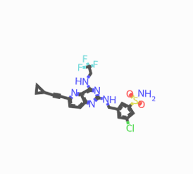 NS(=O)(=O)c1cc(Cl)cc(CNc2nc(NCC(F)(F)F)c3nc(C#CC4CC4)ccc3n2)c1